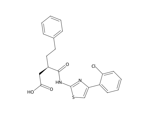 O=C(O)C[C@@H](CCc1ccccc1)C(=O)Nc1nc(-c2ccccc2Cl)cs1